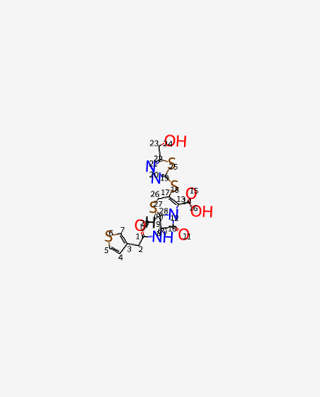 O=C(Cc1ccsc1)N[C@@H]1C(=O)N2C(C(=O)O)=C(Sc3nnc(CO)s3)CS[C@H]12